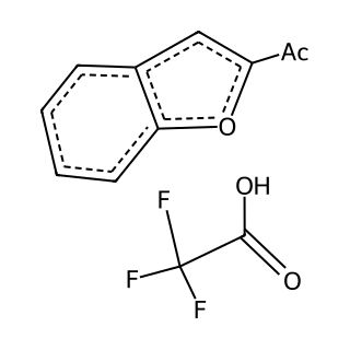 CC(=O)c1cc2ccccc2o1.O=C(O)C(F)(F)F